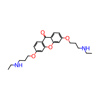 CCNCCCOc1ccc2c(=O)c3ccc(OCCCNCC)cc3oc2c1